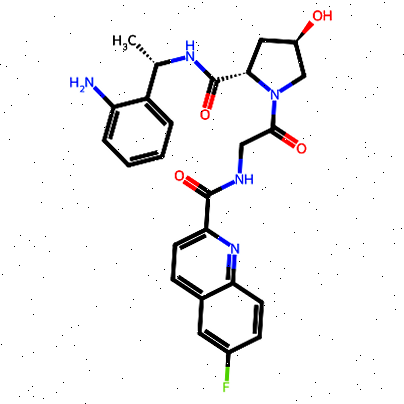 C[C@H](NC(=O)[C@@H]1C[C@@H](O)CN1C(=O)CNC(=O)c1ccc2cc(F)ccc2n1)c1ccccc1N